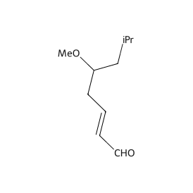 COC(C/C=C/C=O)CC(C)C